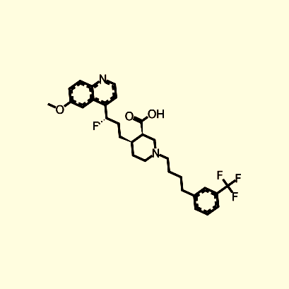 COc1ccc2nccc([C@@H](F)CC[C@@H]3CCN(CCCCc4cccc(C(F)(F)F)c4)C[C@@H]3C(=O)O)c2c1